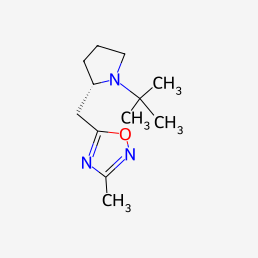 Cc1noc(C[C@@H]2CCCN2C(C)(C)C)n1